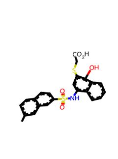 Cc1ccc2ccc(S(=O)(=O)Nc3cc(SCC(=O)O)c(O)c4ccccc34)cc2c1